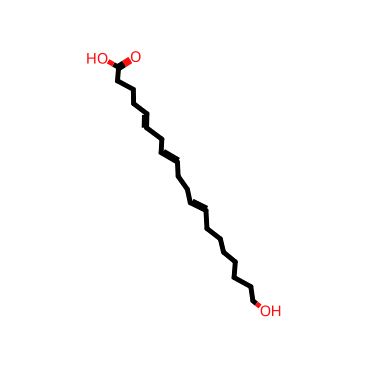 O=C(O)CCCC=CCC=CCCC=CCCCCCCCO